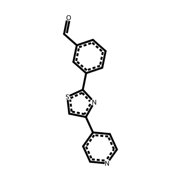 O=Cc1cccc(-c2nc(-c3ccncc3)cs2)c1